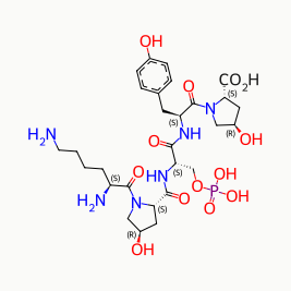 NCCCC[C@H](N)C(=O)N1C[C@H](O)C[C@H]1C(=O)N[C@@H](COP(=O)(O)O)C(=O)N[C@@H](Cc1ccc(O)cc1)C(=O)N1C[C@H](O)C[C@H]1C(=O)O